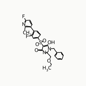 CCOCc1nc(=O)c(S(=O)(=O)c2ccc(-c3ccc(F)nc3C)c(F)c2)c(O)n1Cc1ccccc1